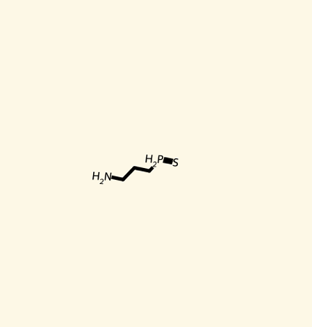 NCCC[PH2]=S